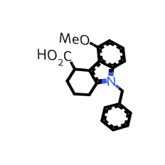 COc1cccc2c1c1c(n2Cc2ccccc2)CCCC1C(=O)O